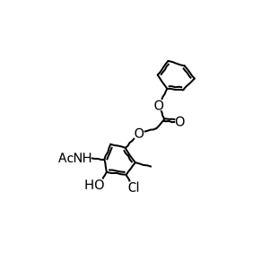 CC(=O)Nc1cc(OCC(=O)Oc2ccccc2)c(C)c(Cl)c1O